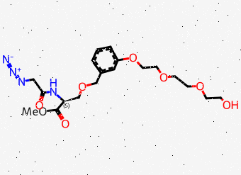 COC(=O)[C@H](COCc1cccc(OCCOCCOCCO)c1)NC(=O)CN=[N+]=[N-]